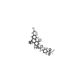 CCS(=O)(=O)c1ccc(CC(=O)Nc2cc(Cl)c(-c3ccc(CC(C)C)cc3C#N)c(Cl)c2)cc1